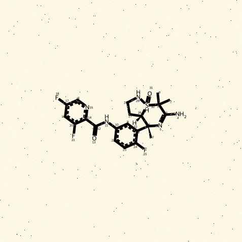 CC1(C)C(N)=N[C@](C)(c2cc(NC(=O)c3ncc(F)cc3F)ccc2F)[C@@H]2CCN[SH]21=O